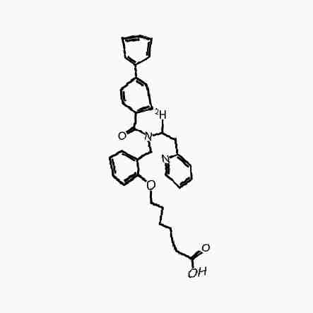 [2H]C(Cc1ccccn1)N(Cc1ccccc1OCCCCCC(=O)O)C(=O)c1ccc(-c2ccccc2)cc1